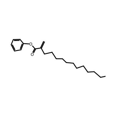 C=C(CCCCCCCCCCCC)C(=O)Oc1ccccc1